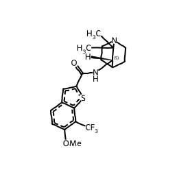 COc1ccc2cc(C(=O)N[C@H]3C4CCN(CC4)C3(C)C)sc2c1C(F)(F)F